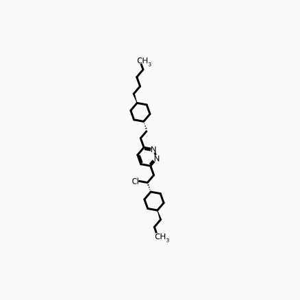 CCCCC[C@H]1CC[C@H](CCc2ccc(CC(Cl)[C@H]3CC[C@H](CCC)CC3)nn2)CC1